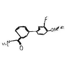 COc1ccc(-c2cccc(C(N)=O)c2)cc1F